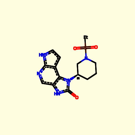 CCS(=O)(=O)N1CCC[C@@H](n2c(=O)[nH]c3cnc4[nH]ccc4c32)C1